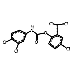 O=C(Nc1ccc(Cl)c(Cl)c1)Oc1ccc(Cl)cc1C(Cl)Cl